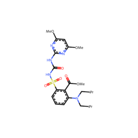 COC(=O)c1c(N(CC(C)C)CC(C)C)cccc1S(=O)(=O)NC(=O)Nc1nc(OC)cc(OC)n1